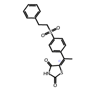 C/C(=C1\SC(=O)NC1=O)c1ccc(S(=O)(=O)CCc2ccccc2)cc1